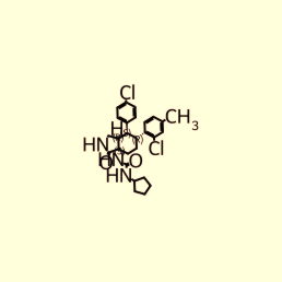 Cc1ccc([C@@H]2CC[C@@]3(NC(=O)NC4CCCC4)C(=O)NC[C@H]3[C@H]2c2ccc(Cl)cc2)c(Cl)c1